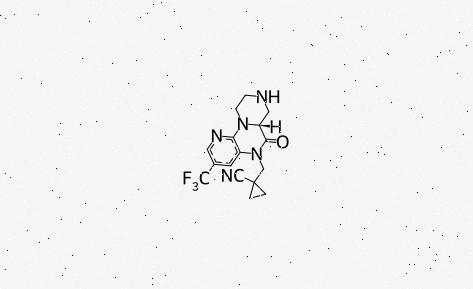 N#CC1(CN2C(=O)[C@H]3CNCCN3c3ncc(C(F)(F)F)cc32)CC1